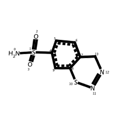 NS(=O)(=O)c1ccc2c(c1)SN=NC2